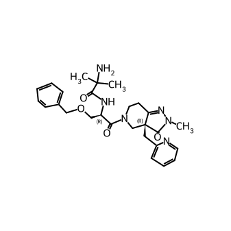 CN1N=C2CCN(C(=O)[C@@H](COCc3ccccc3)NC(=O)C(C)(C)N)C[C@@]2(Cc2ccccn2)C1=O